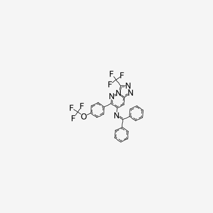 FC(F)(F)Oc1ccc(-c2nn3c(C(F)(F)F)nnc3cc2N=C(c2ccccc2)c2ccccc2)cc1